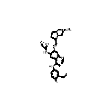 C=CC(=O)Nc1cc2c(Nc3ccc(F)c(CI)c3)ncnc2cc1OCC1CCC2CN(C)CC12